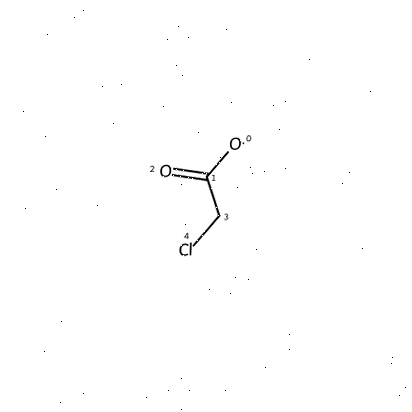 [O]C(=O)CCl